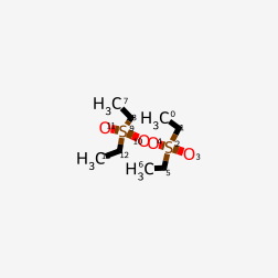 CCS(=O)(=O)CC.CCS(=O)(=O)CC